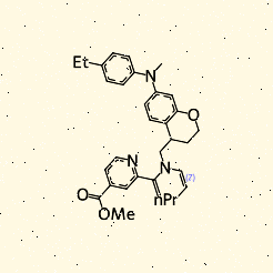 C=C(c1cc(C(=O)OC)ccn1)N(/C=C\CCC)CC1CCOc2cc(N(C)c3ccc(CC)cc3)ccc21